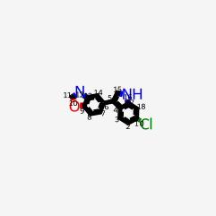 Clc1ccc2c(-c3ccc4ocnc4c3)c[nH]c2c1